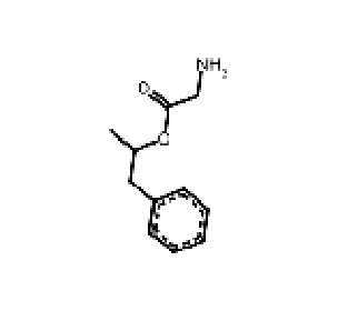 CC(Cc1ccccc1)OC(=O)CN